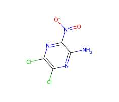 Nc1nc(Cl)c(Cl)nc1[N+](=O)[O-]